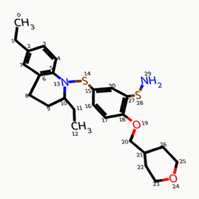 CCc1ccc2c(c1)CCC(CC)N2Sc1ccc(OCC2CCOCC2)c(SN)c1